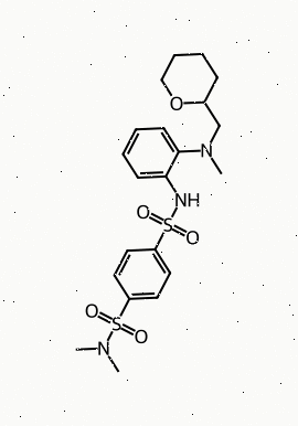 CN(CC1CCCCO1)c1ccccc1NS(=O)(=O)c1ccc(S(=O)(=O)N(C)C)cc1